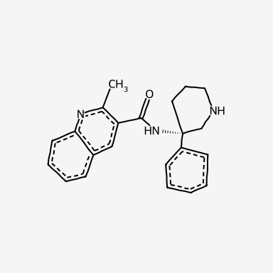 Cc1nc2ccccc2cc1C(=O)N[C@]1(c2ccccc2)CCCNC1